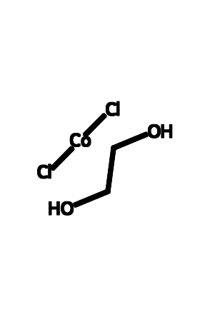 OCCO.[Cl][Co][Cl]